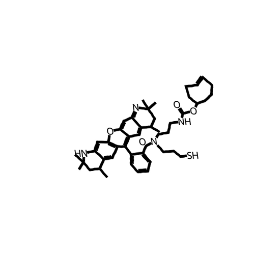 CC1CC(C)(C)Nc2cc3c(cc21)C(c1ccccc1C(=O)N(CCCS)CCCNC(=O)OC1CC/C=C/CCC1)=c1cc2c(cc1O3)=NC(C)(C)CC2C